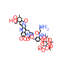 CCCCc1c2c(nc3cc4c(c(NC(=O)OCc5ccc(O[C@@H]6O[C@H](C(=O)OC)[C@@H](OC(C)=O)[C@H](OC(C)=O)[C@H]6OC(C)=O)c(NC(=O)CCN)c5)c13)OCO4)-c1cc3c(c(=O)n1C2)CC(C)C(=O)[C@]3(O)CC